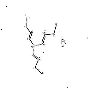 CCC=CP(C=CCC)C=CCC.[Pt]